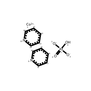 O=[As]([O-])([O-])O.[Co+2].c1ccncc1.c1ccncc1